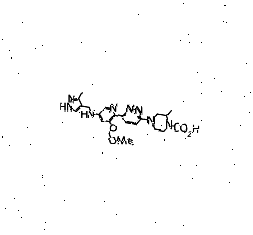 COCOc1cc(NCc2c[nH]nc2C)cnc1-c1ccc(N2CCN(C(=O)O)C(C)C2)nn1